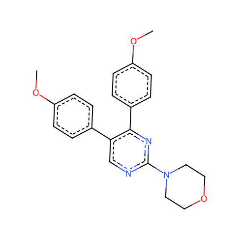 COc1ccc(-c2cnc(N3CCOCC3)nc2-c2ccc(OC)cc2)cc1